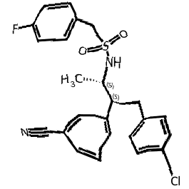 C[C@H](NS(=O)(=O)Cc1ccc(F)cc1)[C@@H](Cc1ccc(Cl)cc1)c1cccc(C#N)c1